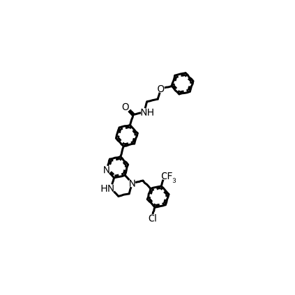 O=C(NCCOc1ccccc1)c1ccc(-c2cnc3c(c2)N(Cc2cc(Cl)ccc2C(F)(F)F)CCN3)cc1